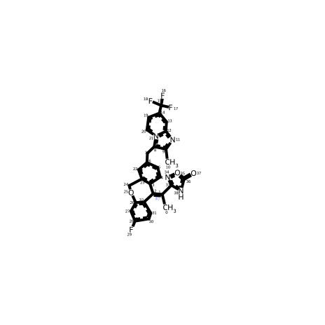 C/C(=C1/c2ccc(Cc3c(C)nc4cc(C(F)(F)F)ccn34)cc2COc2cc(F)ccc21)c1noc(=O)[nH]1